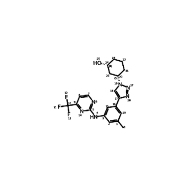 Cc1cc(Nc2nccc(C(F)(F)F)n2)cc(-c2cn([C@H]3CCC[C@@H](O)C3)nn2)c1